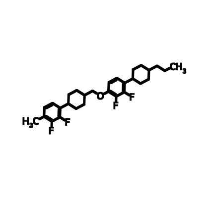 CCCC1CCC(c2ccc(OCC3CCC(c4ccc(C)c(F)c4F)CC3)c(F)c2F)CC1